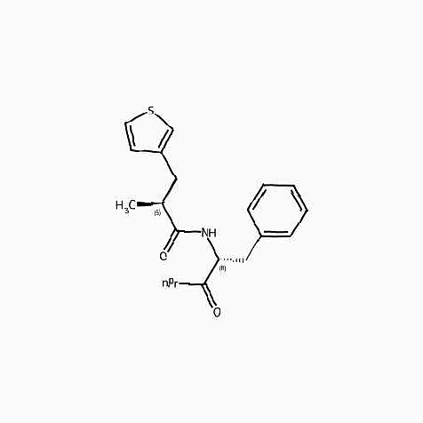 CCCC(=O)[C@@H](Cc1ccccc1)NC(=O)[C@@H](C)Cc1ccsc1